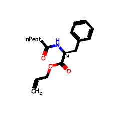 C=CCOC(=O)[C@H](Cc1ccccc1)NC(=O)CCCCC